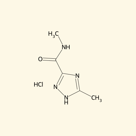 CNC(=O)c1n[nH]c(C)n1.Cl